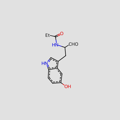 CCC(=O)NC(C=O)Cc1c[nH]c2ccc(O)cc12